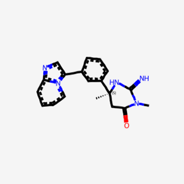 CN1C(=N)N[C@](C)(c2cccc(-c3cnc4ccccn34)c2)CC1=O